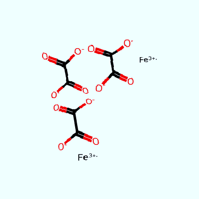 O=C([O-])C(=O)[O-].O=C([O-])C(=O)[O-].O=C([O-])C(=O)[O-].[Fe+3].[Fe+3]